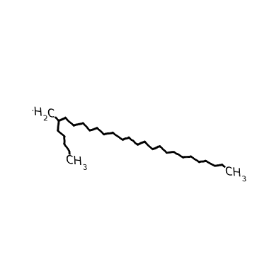 [CH2]C(CCCCC)CCCCCCCCCCCCCCCCCCCCCC